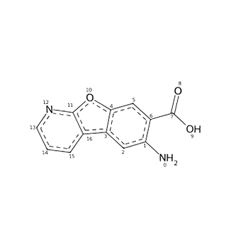 Nc1cc2c(cc1C(=O)O)oc1ncccc12